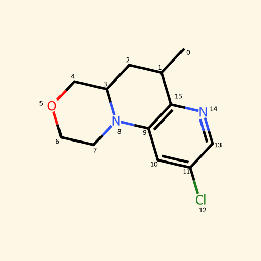 CC1CC2COCCN2c2cc(Cl)cnc21